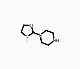 C1CN(C2NCCO2)CCN1